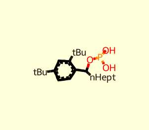 CCCCCCCC(OP(O)O)c1ccc(C(C)(C)C)cc1C(C)(C)C